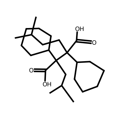 CC(C)CCC(C(=O)O)(C1CCCCC1)C(CC(C)C)(C(=O)O)C1CCCCC1